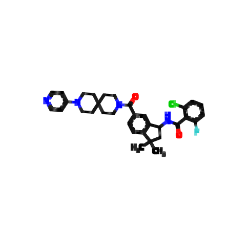 CC1(C)CC(NC(=O)c2c(F)cccc2Cl)c2cc(C(=O)N3CCC4(CC3)CCN(c3ccncc3)CC4)ccc21